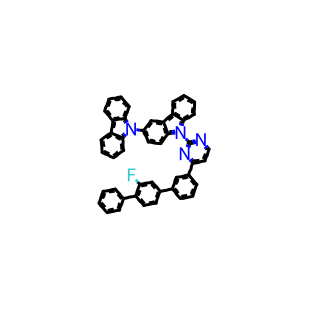 Fc1cc(-c2cccc(-c3ccnc(-n4c5ccccc5c5cc(-n6c7ccccc7c7ccccc76)ccc54)n3)c2)ccc1-c1ccccc1